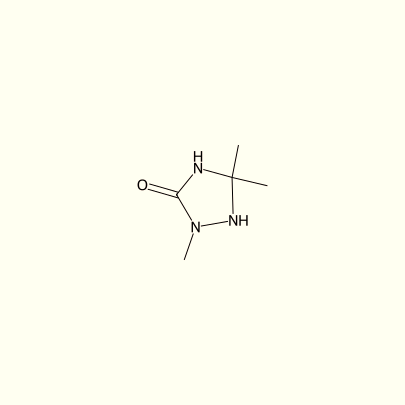 CN1NC(C)(C)NC1=O